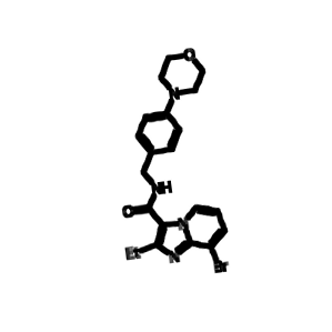 CCc1nc2c(Br)cccn2c1C(=O)NCc1ccc(N2CCOCC2)cc1